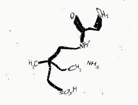 C=CC(=O)NCC(C)(C)CS(=O)(=O)O.N